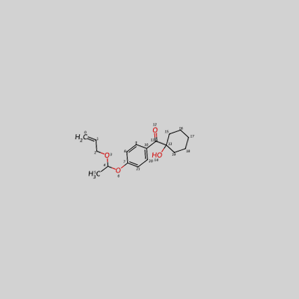 C=CCOC(C)Oc1ccc(C(=O)C2(O)CCCCC2)cc1